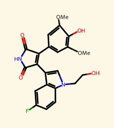 COc1cc(C2=C(c3cn(CCO)c4ccc(F)cc34)C(=O)NC2=O)cc(OC)c1O